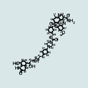 COc1cccc(Nc2c(C(N)=O)cnc3c(C)cc(S(=O)(=O)c4cccc(COC(=O)N5CCN(c6ccc(CCCCNC[C@H](O)c7ccc(O)c8[nH]c(=O)ccc78)cc6)CC5)c4)cc23)c1